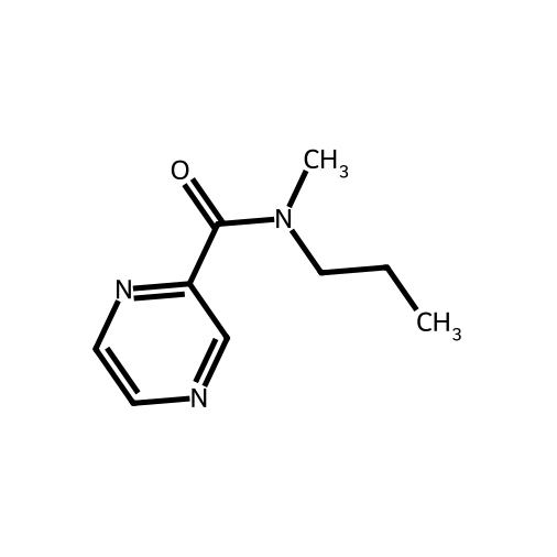 CCCN(C)C(=O)c1cnccn1